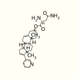 C[C@]12CC[C@H](OC(=O)[C@H](N)CC(N)=O)CC1=CC[C@@H]1[C@@H]2CC[C@]2(C)C(c3cccnc3)=CC[C@@H]12